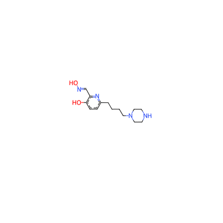 O/N=C/c1nc(CCCCN2CCNCC2)ccc1O